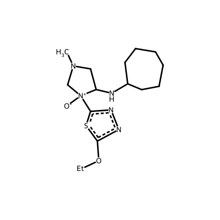 CCOc1nnc([N+]2([O-])CN(C)CC2NC2CCCCCC2)s1